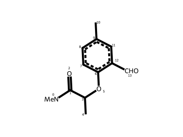 CNC(=O)C(C)Oc1ccc(C)cc1C=O